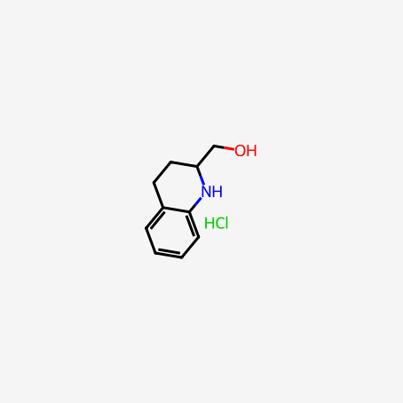 Cl.OCC1CCc2ccccc2N1